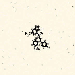 Cc1ccc(CCN(Cc2ccc(C(C)(C)C)cc2)C(=O)c2nc(C(F)(F)F)cc3cc[nH]c23)cc1